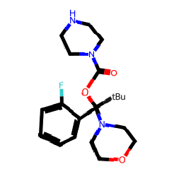 CC(C)(C)C(OC(=O)N1CCNCC1)(c1ccccc1F)N1CCOCC1